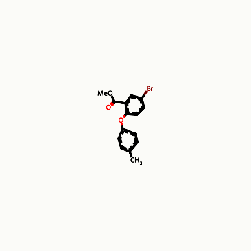 COC(=O)c1cc(Br)ccc1Oc1ccc(C)cc1